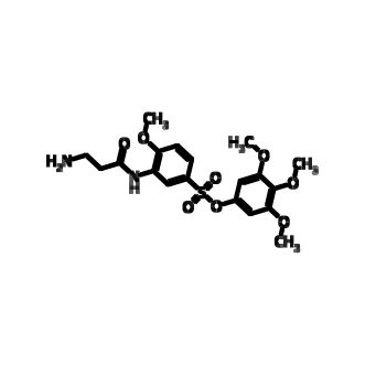 COc1ccc(S(=O)(=O)Oc2cc(OC)c(OC)c(OC)c2)cc1NC(=O)CCN